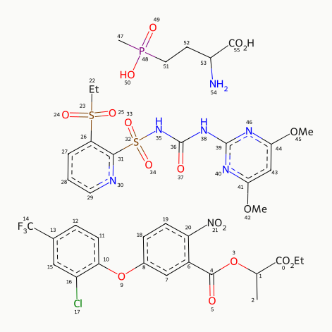 CCOC(=O)C(C)OC(=O)c1cc(Oc2ccc(C(F)(F)F)cc2Cl)ccc1[N+](=O)[O-].CCS(=O)(=O)c1cccnc1S(=O)(=O)NC(=O)Nc1nc(OC)cc(OC)n1.CP(=O)(O)CCC(N)C(=O)O